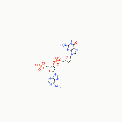 Nc1nc2c(ncn2[C@H]2CCC(COP(=O)(O)O[C@H]3C[C@H](n4cnc5c(N)ncnc54)O[C@@H]3COP(=O)(O)O)O2)c(=O)[nH]1